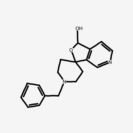 OC1OC2(CCN(Cc3ccccc3)CC2)c2cnccc21